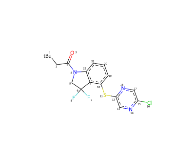 CC(C)(C)CC(=O)N1CC(F)(F)c2c(Sc3cnc(Cl)cn3)cccc21